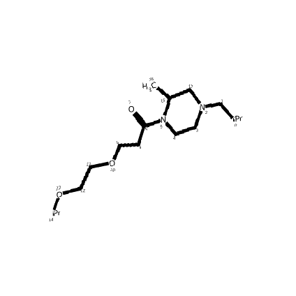 CC(C)CN1CCN(C(=O)CCOCCOC(C)C)C(C)C1